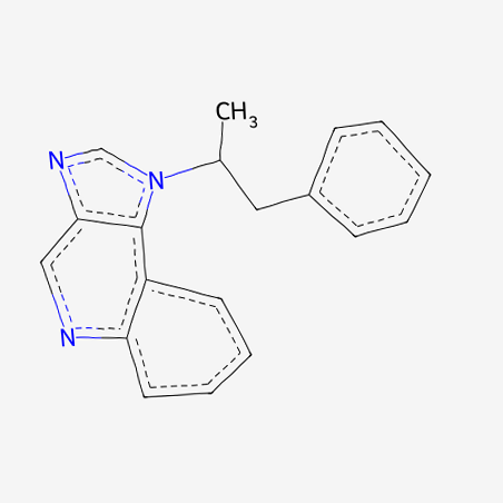 CC(Cc1ccccc1)n1cnc2cnc3ccccc3c21